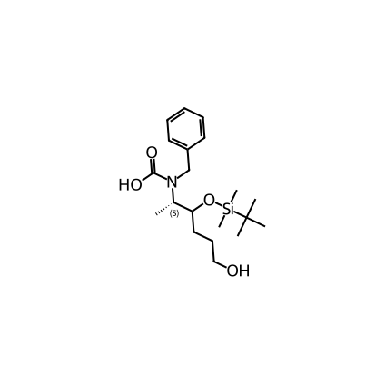 C[C@@H](C(CCCO)O[Si](C)(C)C(C)(C)C)N(Cc1ccccc1)C(=O)O